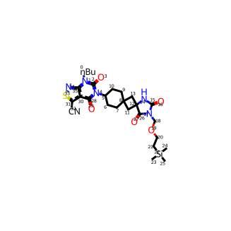 CCCCn1c(=O)n(C2CCC3(CC2)CC2(C3)NC(=O)N(COCC[Si](C)(C)C)C2=O)c(=O)c2c(C#N)snc21